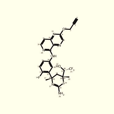 C#CCOc1cnc2c(Nc3ccc(F)c([C@]4(C)C[C@](C)([C@H](O)C(F)(F)F)SC(N)=N4)c3)nccc2n1